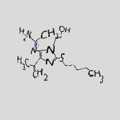 C=C(C)c1nc(SCCCCC)n(CCO)c1/N=C(\C)N